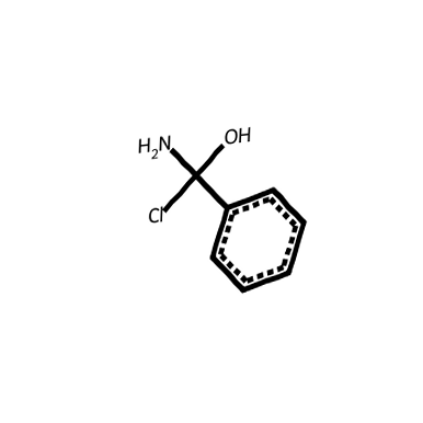 NC(O)(Cl)c1ccccc1